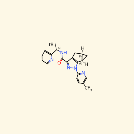 CC(C)(C)[C@H](NC(=O)c1nn(-c2ccc(C(F)(F)F)cn2)c2c1C[C@H]1C[C@@H]21)c1ccccn1